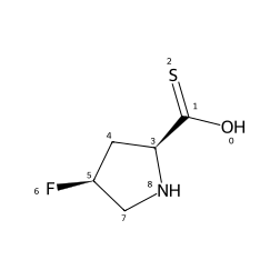 OC(=S)[C@@H]1C[C@H](F)CN1